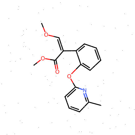 COC=C(C(=O)OC)c1ccccc1Oc1cccc(C)n1